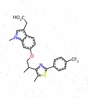 Cc1sc(-c2ccc(C(F)(F)F)cc2)nc1C(C)COc1ccc2c(CC(=O)O)cn(C)c2c1